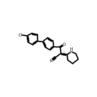 N#C/C(C(=O)c1ccc(-c2ccc(Cl)cc2)cc1)=C1\CCCCN1